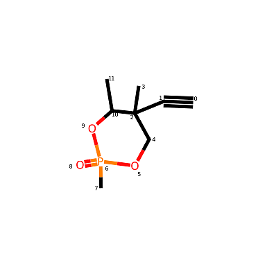 C#CC1(C)COP(C)(=O)OC1C